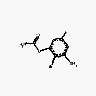 NC(=O)Oc1cc(F)cc(N)c1Br